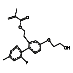 C=C(C)C(=O)OCCc1cc(OCCO)ccc1-c1ccc(C)cc1F